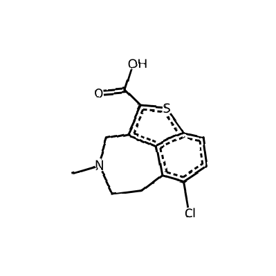 CN1CCc2c(Cl)ccc3sc(C(=O)O)c(c23)C1